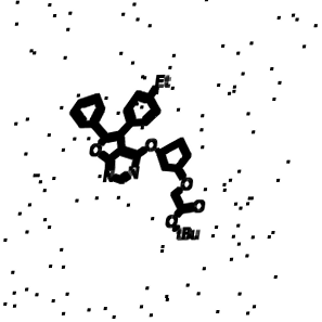 CCc1ccc(-c2c(-c3ccccc3)oc3ncnc(O[C@@H]4CCC(OCC(=O)OC(C)(C)C)C4)c23)cc1